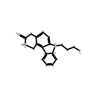 O=C1Cc2ccc3c(c2CN1)c1ccccc1n3CCCF